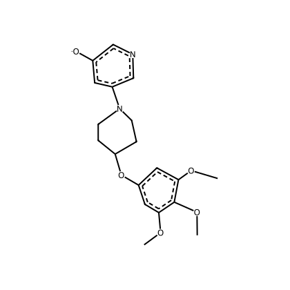 COc1cc(OC2CCN(c3cncc([O])c3)CC2)cc(OC)c1OC